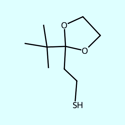 CC(C)(C)C1(CCS)OCCO1